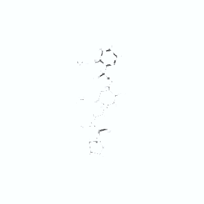 CCOC1CN(CCN(C)C(=O)N2CCCC2)CCC1NC(=O)c1ccccc1OC.O